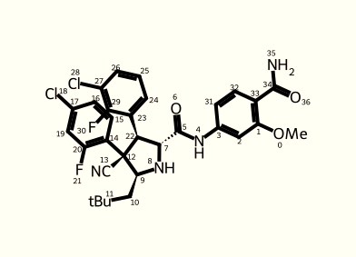 COc1cc(NC(=O)[C@@H]2N[C@@H](CC(C)(C)C)[C@](C#N)(c3ccc(Cl)cc3F)[C@H]2c2cccc(Cl)c2F)ccc1C(N)=O